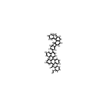 C=Cc1ccccc1C(=C)c1c2ccccc2c(-c2ccc(-c3ccc4sc5c(ccc6ccc7sc8ccccc8c7c65)c4c3)c3ccccc23)c2ccccc12